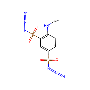 CCCNc1ccc(S(=O)(=O)N=[N+]=[N-])cc1S(=O)(=O)N=[N+]=[N-]